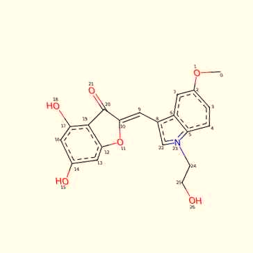 COc1ccc2c(c1)c(/C=C1\Oc3cc(O)cc(O)c3C1=O)cn2CCO